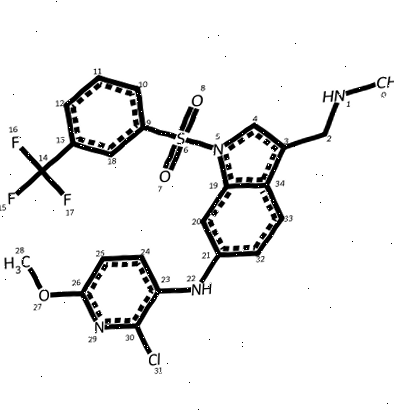 CNCc1cn(S(=O)(=O)c2cccc(C(F)(F)F)c2)c2cc(Nc3ccc(OC)nc3Cl)ccc12